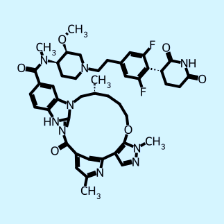 CO[C@H]1CN(CCc2cc(F)c([C@H]3CCC(=O)NC3=O)c(F)c2)CC[C@H]1N(C)C(=O)c1ccc2c(c1)N1C[C@H](C)CCCOc3c(cnn3C)-c3cc(cc(C)n3)C(=O)/N=C/1N2